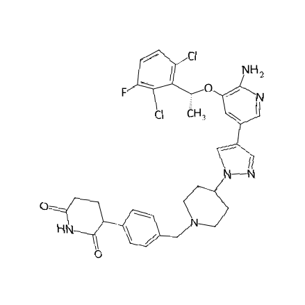 C[C@@H](Oc1cc(-c2cnn(C3CCN(Cc4ccc(C5CCC(=O)NC5=O)cc4)CC3)c2)cnc1N)c1c(Cl)ccc(F)c1Cl